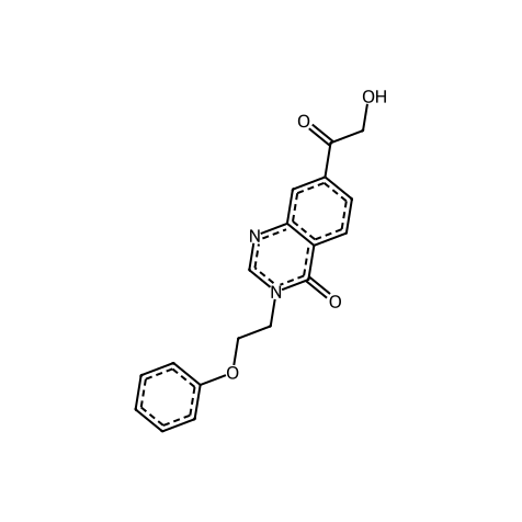 O=C(CO)c1ccc2c(=O)n(CCOc3ccccc3)cnc2c1